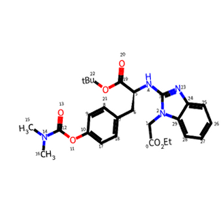 CCOC(=O)Cn1c(N[C@@H](Cc2ccc(OC(=O)N(C)C)cc2)C(=O)OC(C)(C)C)nc2ccccc21